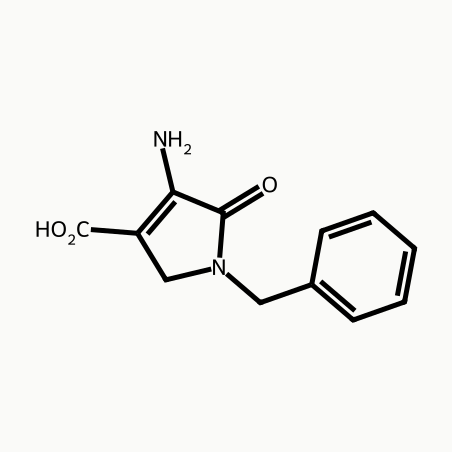 NC1=C(C(=O)O)CN(Cc2ccccc2)C1=O